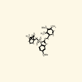 COc1ccc2c(c1)nc(SCc1ncc(C)c(OC)c1C)n2S(=O)(=O)CC12CCC(CC1=O)C2(C)C